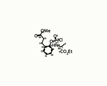 CCOC(=O)[C@@H](C)NP(=O)(Cl)Oc1ccccc1CCC(=O)OC